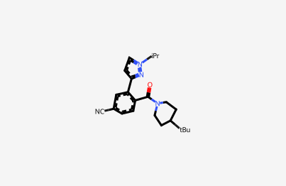 CC(C)n1ccc(-c2cc(C#N)ccc2C(=O)N2CCC(C(C)(C)C)CC2)n1